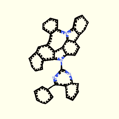 c1ccc(-c2nc(-n3c4ccc5c6ccccc6n6c7ccccc7c7cc8ccccc8c3c7c4c56)nc3ccccc23)cc1